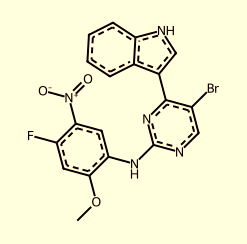 COc1cc(F)c([N+](=O)[O-])cc1Nc1ncc(Br)c(-c2c[nH]c3ccccc23)n1